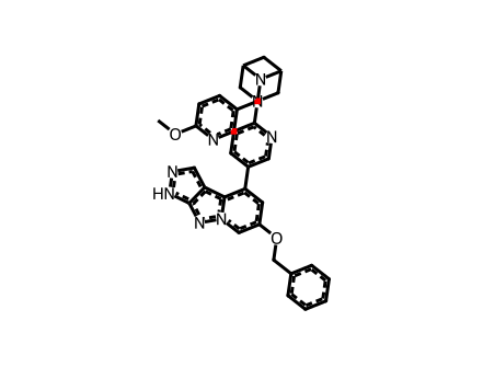 COc1ccc(CN2C3CC2CN(c2ccc(-c4cc(OCc5ccccc5)cn5nc6[nH]ncc6c45)cn2)C3)cn1